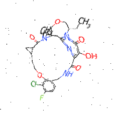 CC[C@H]1COC[C@@H]2c3nc(c(O)c(=O)n31)C(=O)NCc1ccc(F)c(Cl)c1OCCC1CC1C(=O)N2C